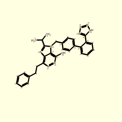 CC(C)c1nc2c(CCc3ccccc3)nnc(O)c2n1Cc1ccc(-c2ccccc2-c2nnn[nH]2)cc1